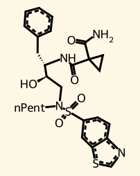 CCCCCN(C[C@@H](O)[C@H](Cc1ccccc1)NC(=O)C1(C(N)=O)CC1)S(=O)(=O)c1ccc2ncsc2c1